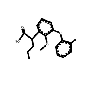 CCCC(C(=O)O)c1cccc(Oc2ccccc2C)c1OC